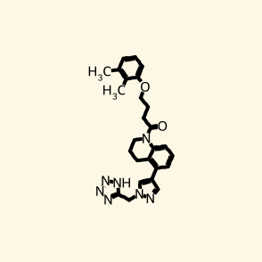 Cc1cccc(OCCCC(=O)N2CCCc3c(-c4cnn(Cc5nnn[nH]5)c4)cccc32)c1C